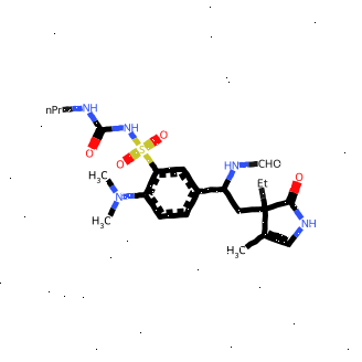 CCCNC(=O)NS(=O)(=O)c1cc(C(CC2(CC)C(=O)NC=C2C)NC=O)ccc1N(C)C